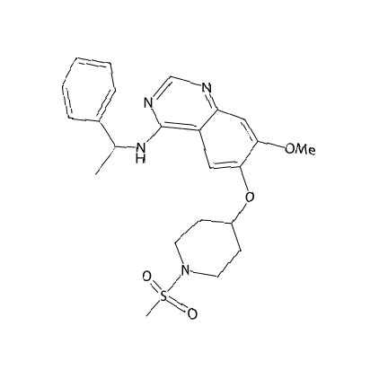 COc1cc2ncnc(NC(C)c3ccccc3)c2cc1OC1CCN(S(C)(=O)=O)CC1